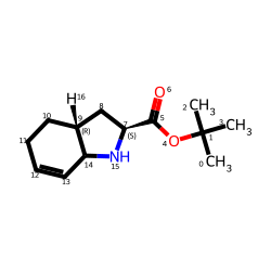 CC(C)(C)OC(=O)[C@@H]1C[C@H]2CCC=CC2N1